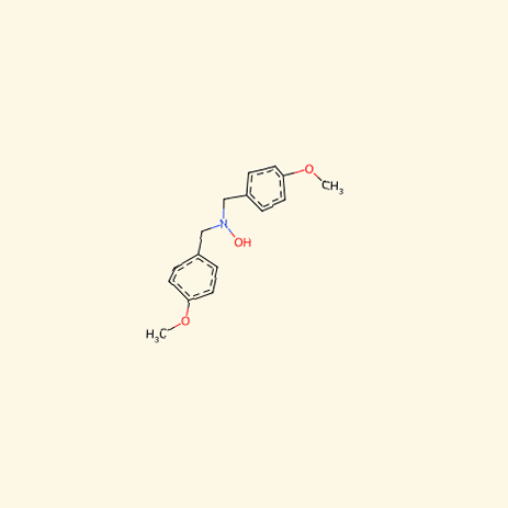 COc1ccc(CN(O)Cc2ccc(OC)cc2)cc1